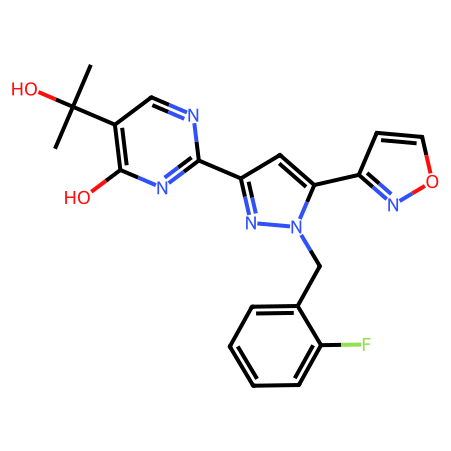 CC(C)(O)c1cnc(-c2cc(-c3ccon3)n(Cc3ccccc3F)n2)nc1O